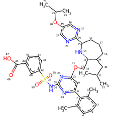 Cc1cccc(C)c1-c1cc(OCC2NC(c3ncc(OC(C)C)cn3)CCCC2CC(C)C)nc(NS(=O)(=O)c2cccc(C(=O)O)c2)n1